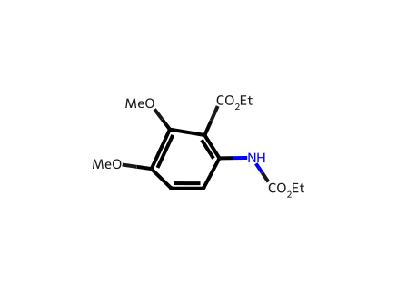 CCOC(=O)Nc1ccc(OC)c(OC)c1C(=O)OCC